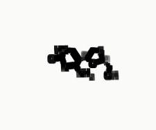 Nc1nc(=O)[nH]cc1[C@@H]1CS[C@H](CO)O1